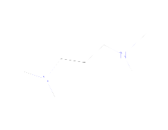 [CH2]N(C)CCCN(C)C